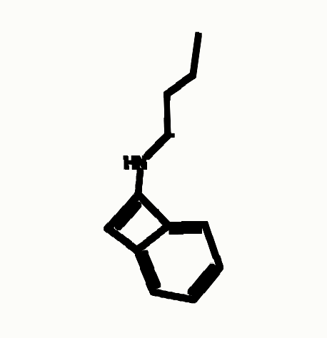 CCC[CH]NC1=Cc2ccccc21